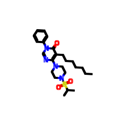 CCCCCCCc1c(N2CCN(S(=O)(=O)C(C)C)CC2)ncn(-c2ccccc2)c1=O